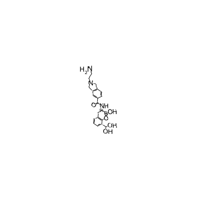 NCCN1Cc2ccc(C(=O)N[C@H]3Cc4cccc(C(O)O)c4OB3O)cc2C1